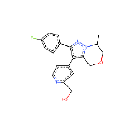 CC1COCc2c(-c3ccnc(CO)c3)c(-c3ccc(F)cc3)nn21